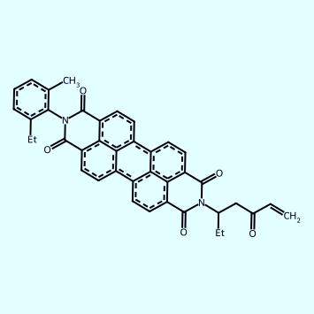 C=CC(=O)CC(CC)N1C(=O)c2ccc3c4ccc5c6c(ccc(c7ccc(c2c37)C1=O)c64)C(=O)N(c1c(C)cccc1CC)C5=O